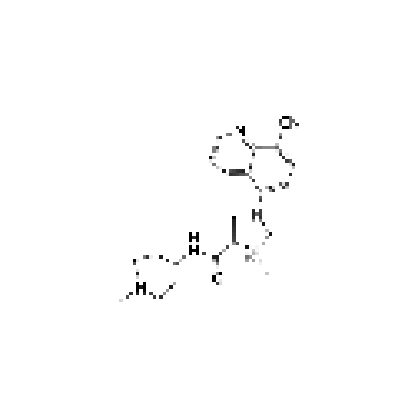 C[C@H]1CN(c2ccc(C#N)c3ncccc23)CC1C(=O)NC1CCN(C)CC1